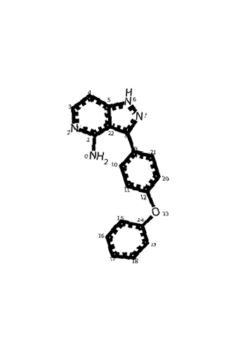 Nc1nccc2[nH]nc(-c3ccc(Oc4ccccc4)cc3)c12